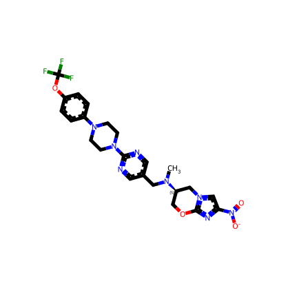 CN(Cc1cnc(N2CCN(c3ccc(OC(F)(F)F)cc3)CC2)nc1)[C@@H]1COc2nc([N+](=O)[O-])cn2C1